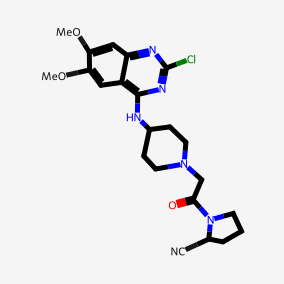 COc1cc2nc(Cl)nc(NC3CCN(CC(=O)N4CCCC4C#N)CC3)c2cc1OC